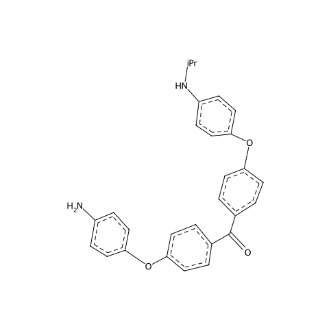 CC(C)Nc1ccc(Oc2ccc(C(=O)c3ccc(Oc4ccc(N)cc4)cc3)cc2)cc1